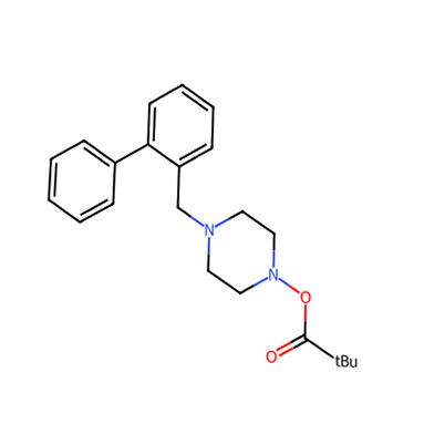 CC(C)(C)C(=O)ON1CCN(Cc2ccccc2-c2ccccc2)CC1